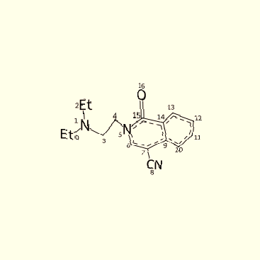 CCN(CC)CCn1cc(C#N)c2ccccc2c1=O